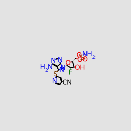 N#Cc1ccnc(Sc2nn([C@@H]3O[C@H](COS(N)(=O)=O)[C@@H](O)[C@@H]3F)c3ncnc(N)c23)c1